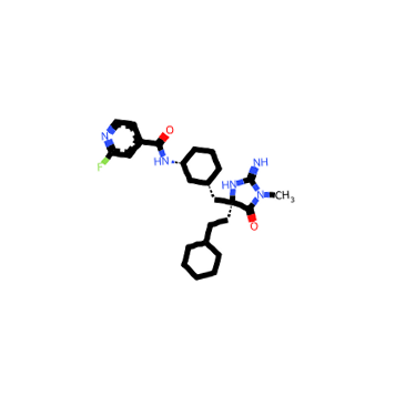 CN1C(=N)N[C@](CCC2CCCCC2)(C[C@H]2CCC[C@@H](NC(=O)c3ccnc(F)c3)C2)C1=O